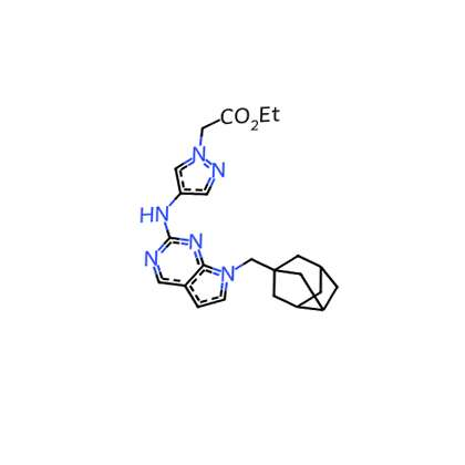 CCOC(=O)Cn1cc(Nc2ncc3ccn(CC45CC6CC(C4)C(C6)C5)c3n2)cn1